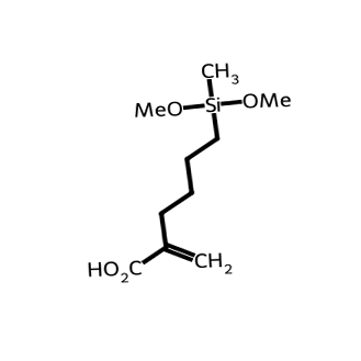 C=C(CCCC[Si](C)(OC)OC)C(=O)O